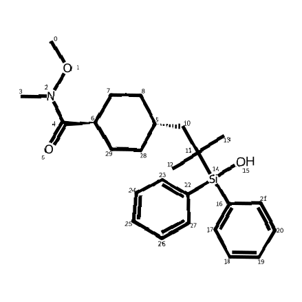 CON(C)C(=O)[C@H]1CC[C@H](CC(C)(C)[Si](O)(c2ccccc2)c2ccccc2)CC1